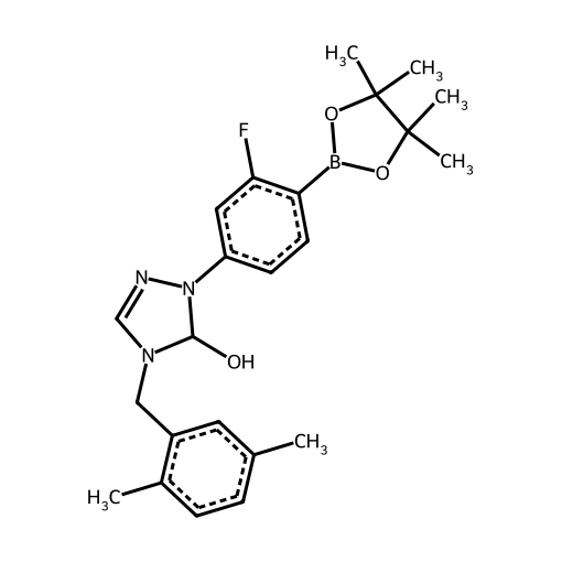 Cc1ccc(C)c(CN2C=NN(c3ccc(B4OC(C)(C)C(C)(C)O4)c(F)c3)C2O)c1